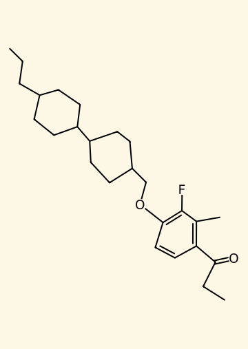 CCCC1CCC(C2CCC(COc3ccc(C(=O)CC)c(C)c3F)CC2)CC1